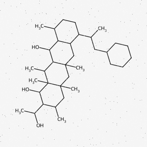 CC(O)C1C(C)CC2(C)CC3(C)CC4C(C(C)CC5CCCCC5)CCC(C)C4C(O)C3C(C)C2(C)C1O